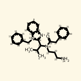 CC(C)C(c1nc2ccccc2n1Cc1ccccc1)N(CCCN)C(=O)Cc1ccccc1